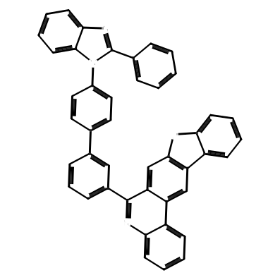 c1ccc(-c2nc3ccccc3n2-c2ccc(-c3cccc(-c4nc5ccccc5c5cc6c(cc45)oc4ccccc46)c3)cc2)cc1